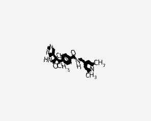 Cc1cc(CNC(=O)c2ccc([C@@H](C)[C@@]3(C)C(=O)Nc4ncncc43)cc2)cc(C)n1